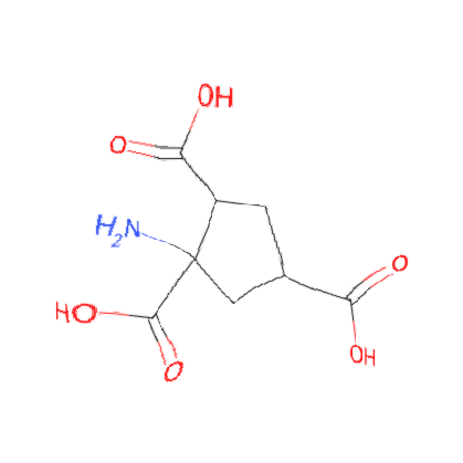 NC1(C(=O)O)CC(C(=O)O)CC1C(=O)O